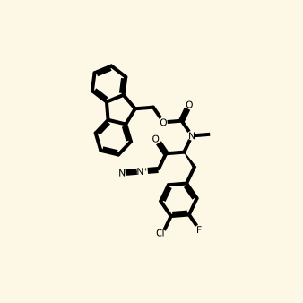 CN(C(=O)OCC1c2ccccc2-c2ccccc21)[C@@H](Cc1ccc(Cl)c(F)c1)C(=O)C=[N+]=[N-]